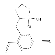 N#Cc1cnc(C=O)c(CC2CCCS2(O)O)c1